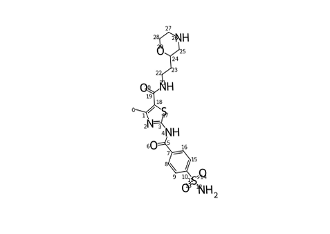 Cc1nc(NC(=O)c2ccc(S(N)(=O)=O)cc2)sc1C(=O)NCCC1CNCCO1